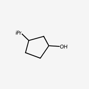 CC(C)C1CCC(O)C1